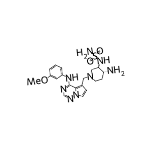 COc1cccc(Nc2ncnn3ccc(CN4CC[C@@H](N)[C@H](NS(N)(=O)=O)C4)c23)c1